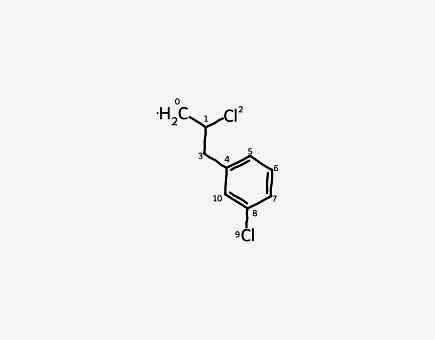 [CH2]C(Cl)Cc1cccc(Cl)c1